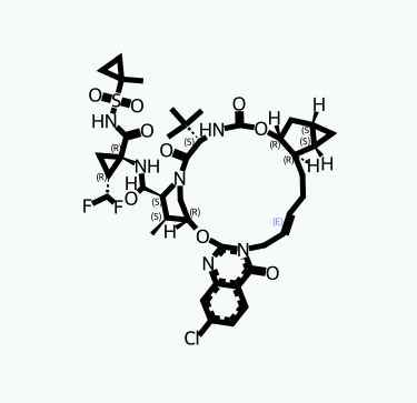 C[C@@H]1[C@@H]2CN(C(=O)[C@H](C(C)(C)C)NC(=O)O[C@@H]3C[C@@H]4C[C@@H]4[C@H]3CC/C=C/Cn3c(nc4cc(Cl)ccc4c3=O)O2)[C@@H]1C(O)N[C@]1(C(=O)NS(=O)(=O)C2(C)CC2)C[C@H]1C(F)F